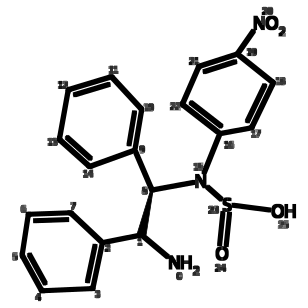 NC(c1ccccc1)[C@@H](c1ccccc1)N(c1ccc([N+](=O)[O-])cc1)S(=O)O